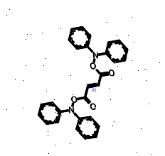 O=C(/C=C/C(=O)ON(c1ccccc1)c1ccccc1)ON(c1ccccc1)c1ccccc1